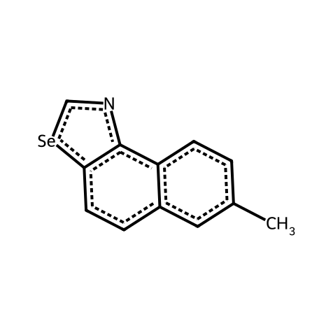 Cc1ccc2c(ccc3[se]cnc32)c1